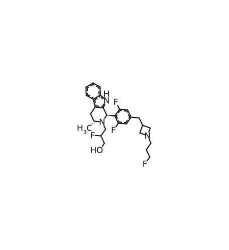 C[C@@H]1Cc2c([nH]c3ccccc23)[C@@H](c2c(F)cc(CC3CN(CCCF)C3)cc2F)N1CC(F)CO